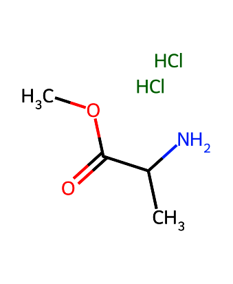 COC(=O)C(C)N.Cl.Cl